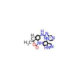 CC1(C)OC(=O)Nc2cc(NC3=N[N+]4(c5cccc6[nH]ncc56)C=CN=CC4=N3)ccc21